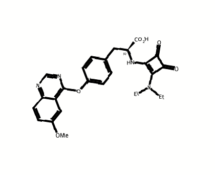 CCN(CC)c1c(N[C@@H](Cc2ccc(Oc3ncnc4ccc(OC)cc34)cc2)C(=O)O)c(=O)c1=O